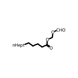 CCCCCCCCCCCC(=O)OCOC=O